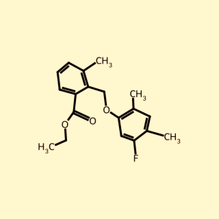 CCOC(=O)c1cccc(C)c1COc1cc(F)c(C)cc1C